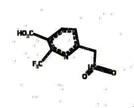 O=C(O)c1ccc(C[SH](=O)=O)nc1C(F)(F)F